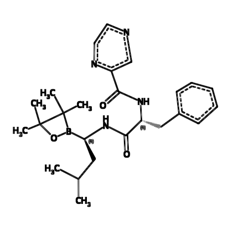 CC(C)C[C@H](NC(=O)[C@@H](Cc1ccccc1)NC(=O)c1cnccn1)B1OC(C)(C)C1(C)C